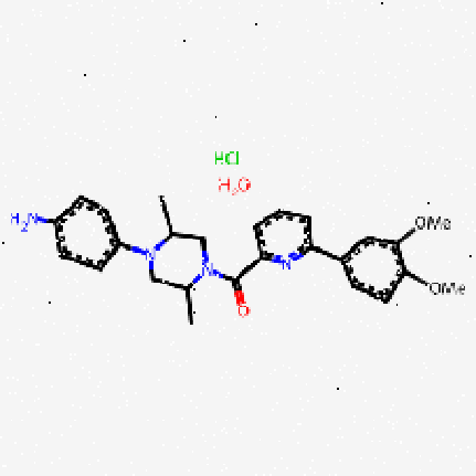 COc1ccc(-c2cccc(C(=O)N3CC(C)N(c4ccc(N)cc4)CC3C)n2)cc1OC.Cl.O